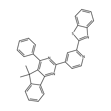 CC1(C)c2ccccc2-c2nc(-c3ccnc(-c4nc5ccccc5s4)c3)nc(-c3ccccc3)c21